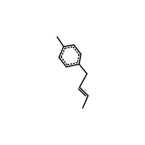 C/C=C/Cc1ccc(C)cc1